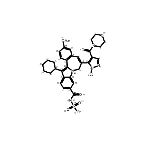 CCn1ncc(C(=O)N2CCOCC2)c1C1=Cc2cc(OC)ccc2-c2c(C3CCCCC3)c3ccc(C(=O)NS(=O)(=O)C(C)C)cc3n2C1